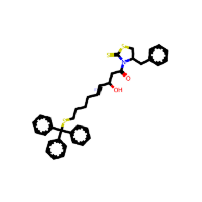 O=C(CC(O)/C=C/CCCCSC(c1ccccc1)(c1ccccc1)c1ccccc1)N1C(=S)SCC1Cc1ccccc1